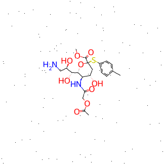 COC(=O)[C@]1(Sc2ccc(C)cc2)C[C@H](O)[C@@H](NC(=O)COC(C)=O)[C@H]([C@H](O)[C@H](O)CN)O1